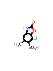 Cc1cc2[nH]c(=O)oc2cc1S(=O)(=O)O.Cl